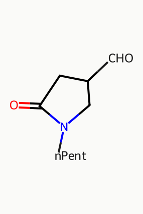 CCCCCN1CC(C=O)CC1=O